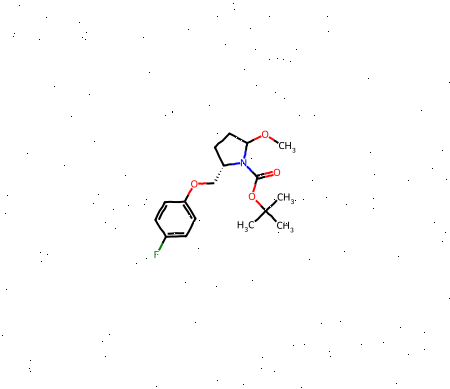 COC1CC[C@@H](COc2ccc(F)cc2)N1C(=O)OC(C)(C)C